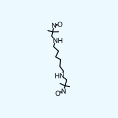 CC(C)(CNCCCCCCNCC(C)(C)N=O)N=O